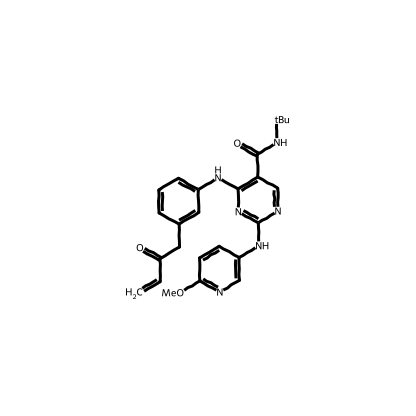 C=CC(=O)Cc1cccc(Nc2nc(Nc3ccc(OC)nc3)ncc2C(=O)NC(C)(C)C)c1